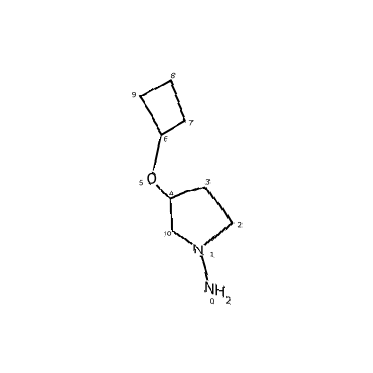 NN1CCC(OC2CCC2)C1